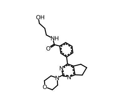 O=C(NCCCO)c1cccc(-c2nc(N3CCOCC3)nc3c2CCC3)c1